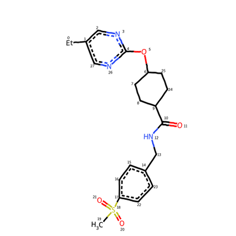 CCc1cnc(OC2CCC(C(=O)NCc3ccc(S(C)(=O)=O)cc3)CC2)nc1